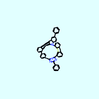 C1=CC2C(C=C1c1ccccc1)c1c3cccc4c5ccc(cc5)c5nc(-c6ccccc6)nc(n5)c5cccc6c7cccc(c7sc56)n2c1ccc34